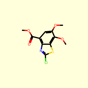 COC(=O)c1cc(OC)c(OC)c2sc(Cl)nc12